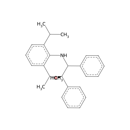 CC(C)c1cccc(C(C)C)c1NC(c1ccccc1)[C@H](O)c1ccccc1